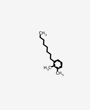 CCCCCCCCc1cccc(C)c1C